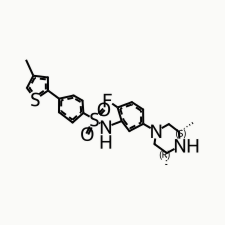 Cc1csc(-c2ccc(S(=O)(=O)Nc3cc(N4C[C@@H](C)N[C@@H](C)C4)ccc3F)cc2)c1